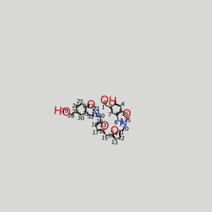 OCc1ccc2c(c1)CN(Cc1ccc(Cc3ccc(CN4COc5ccc(CO)cc5C4)o3)o1)CO2